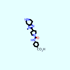 Cn1c(C2CCN(C(=O)N[C@H]3CC[C@H](C(=O)O)CC3)CC2)nc2c1CCNCC2